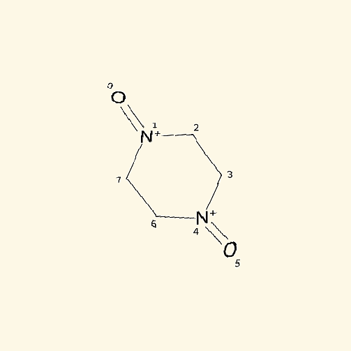 O=[N+]1CC[N+](=O)CC1